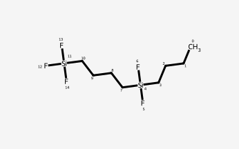 CCCC[Si](F)(F)CCCC[Si](F)(F)F